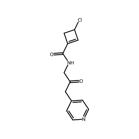 O=C(CNC(=O)C1=CC(Cl)C1)Cc1ccncc1